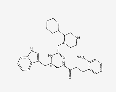 COc1ccccc1CCC(=O)NC[C@@H](Cc1c[nH]c2ccccc12)NC(=O)CN1CCNCC1C1CCCCC1